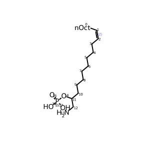 CCCCCCCC/C=C\CCCCCCCCC(CN)OP(=O)(O)O